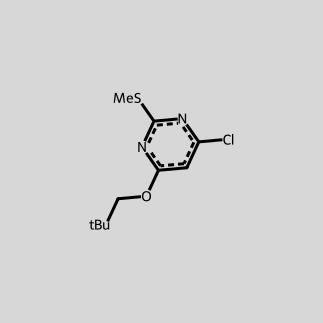 CSc1nc(Cl)cc(OCC(C)(C)C)n1